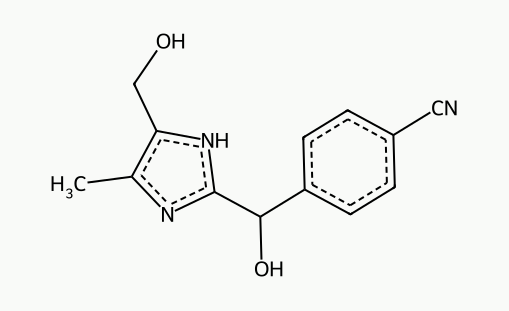 Cc1nc(C(O)c2ccc(C#N)cc2)[nH]c1CO